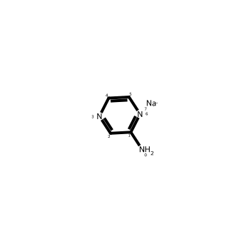 Nc1cnccn1.[Na]